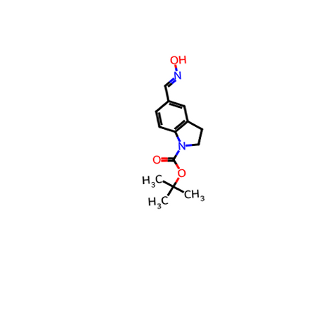 CC(C)(C)OC(=O)N1CCc2cc(C=NO)ccc21